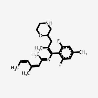 C\C=C/C(C)=C\C(C)=N\C(=C(/C)CC1CNCCO1)c1c(F)cc(C)cc1F